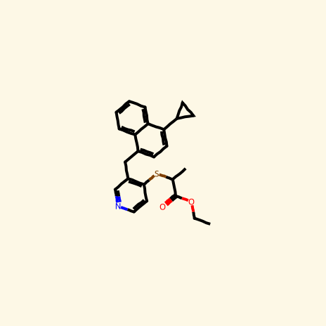 CCOC(=O)C(C)Sc1ccncc1Cc1ccc(C2CC2)c2ccccc12